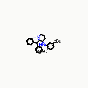 COc1ccc(C(C)(C)C)cc1NC1CCCNC1C(c1ccccc1)c1ccccc1